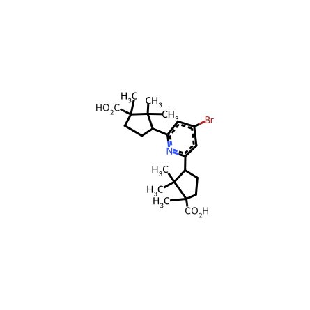 CC1(C(=O)O)CCC(c2cc(Br)cc(C3CCC(C)(C(=O)O)C3(C)C)n2)C1(C)C